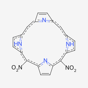 O=[N+]([O-])c1c2nc(c([N+](=O)[O-])c3ccc(cc4nc(cc5ccc1[nH]5)C=C4)[nH]3)C=C2